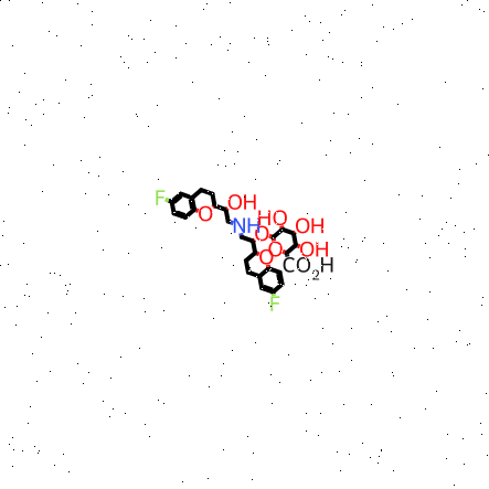 O=C(O)C1OC(OC(CNCC(O)C2CCc3cc(F)ccc3O2)C2CCC3C=C(F)C=CC3O2)C(O)C(O)C1O